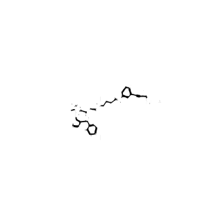 CC(=O)NCC#Cc1cc(NC(=O)CCCNC(=O)C[C@@H]2N=C(c3ccc(Cl)cc3)c3c(sc(C)c3C)-n3c(C)nnc32)ccc1C(=O)O